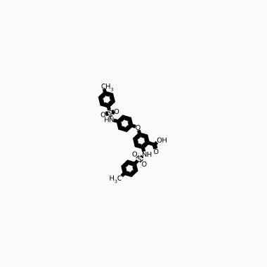 Cc1ccc(S(=O)(=O)Nc2ccc(Oc3ccc(NS(=O)(=O)c4ccc(C)cc4)c(C(=O)O)c3)cc2)cc1